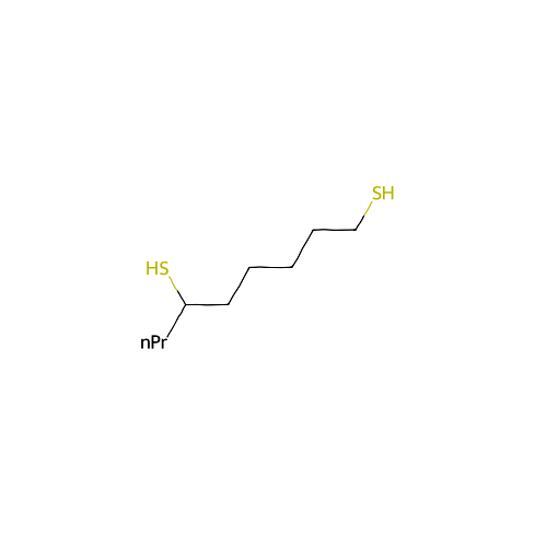 CCCC(S)CCCCCS